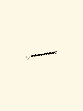 CCC=CCC=CCC=CCC=CCC=CCC=CCCC[O]